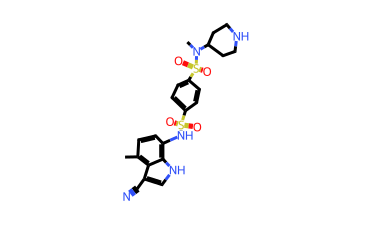 Cc1ccc(NS(=O)(=O)c2ccc(S(=O)(=O)N(C)C3CCNCC3)cc2)c2[nH]cc(C#N)c12